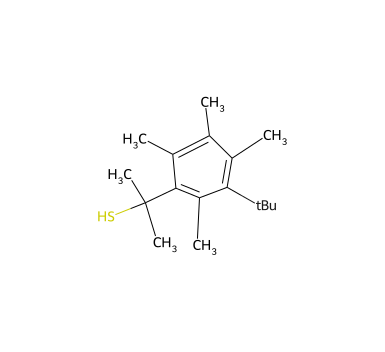 Cc1c(C)c(C(C)(C)C)c(C)c(C(C)(C)S)c1C